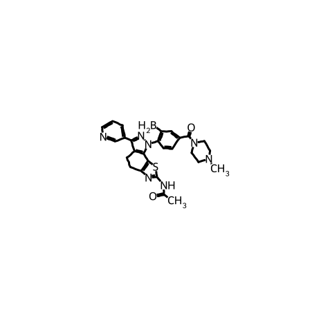 Bc1cc(C(=O)N2CCN(C)CC2)ccc1-n1nc(-c2cccnc2)c2c1-c1sc(NC(C)=O)nc1CC2